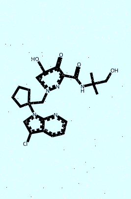 CC(C)(CO)NC(=O)c1nn(CC2(n3cc(Cl)c4cccnc43)CCCC2)cc(O)c1=O